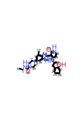 CCNC(=O)N1CCN(c2cc(C)c3nc(-c4c(NC(CO)Cc5ccccc5)cc[nH]c4=O)[nH]c3c2)CC1